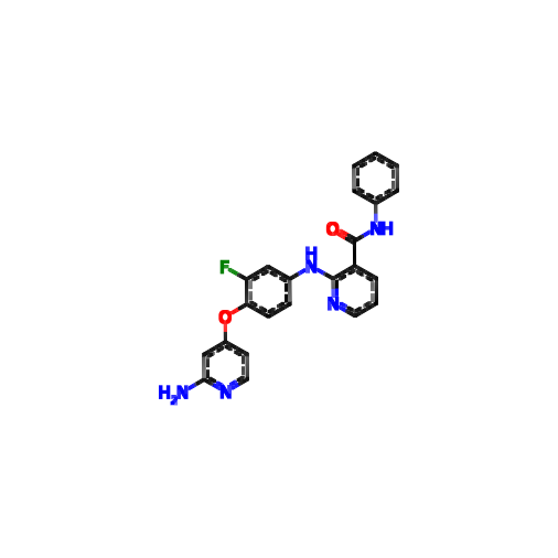 Nc1cc(Oc2ccc(Nc3ncccc3C(=O)Nc3ccccc3)cc2F)ccn1